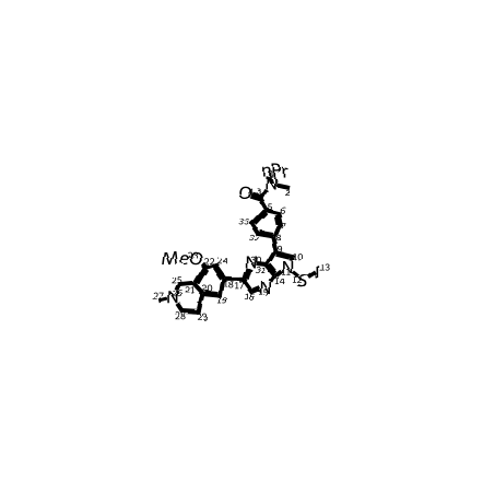 CCCN(C)C(=O)c1ccc(-c2cn(SI)c3ncc(-c4cc5c(c(OC)c4)CN(C)CC5)nc23)cc1